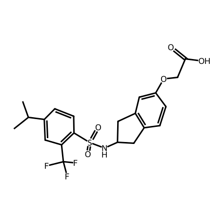 CC(C)c1ccc(S(=O)(=O)NC2Cc3ccc(OCC(=O)O)cc3C2)c(C(F)(F)F)c1